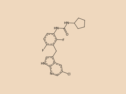 O=C(Nc1ccc(F)c(Cc2c[nH]c3ncc(Cl)cc23)c1F)NC1CCCC1